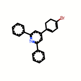 BrC1=CC=C(c2cc(-c3ccccc3)nc(-c3ccccc3)c2)CC1